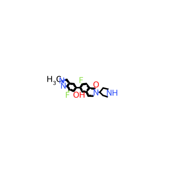 Cn1cc2cc(-c3cc4ccn(C5CCNCC5)c(=O)c4cc3F)c(O)c(F)c2n1